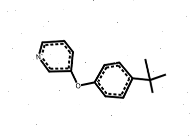 CC(C)(C)c1ccc(Oc2cccnc2)cc1